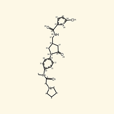 CN(C(=O)CN1CCCC1)c1ccc(N2CC(CNC(=O)c3ccc(Cl)s3)CC2=O)cc1